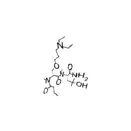 CCCC(=O)N(C)[C@H](COCCCN(CC)CC)C(=O)N(C)[C@@H](CC(C)(C)O)C(N)=O